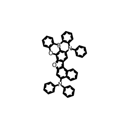 c1ccc(N2c3ccccc3B3c4ccccc4Oc4c3c2cc2c4oc3cc(N(c4ccccc4)c4ccccc4)c4ccccc4c32)cc1